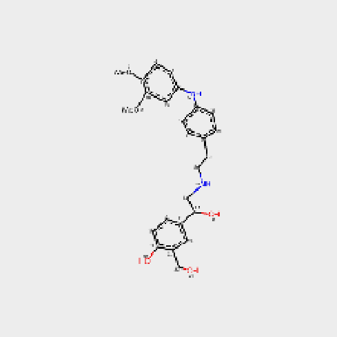 COc1ccc(Nc2ccc(CCNCC(O)c3ccc(O)c(CO)c3)cc2)cc1OC